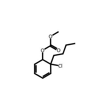 CCCCC1(Cl)C=CC=CC1OC(=O)OC